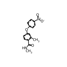 CNC(=O)c1ccc(Oc2ccc([N+](=O)[O-])cc2)cc1C